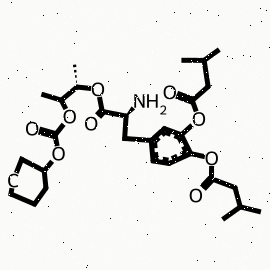 CC(C)CC(=O)Oc1ccc(C[C@H](N)C(=O)O[C@@H](C)C(C)OC(=O)OC2CCCCC2)cc1OC(=O)CC(C)C